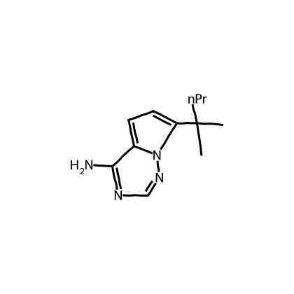 CCCC(C)(C)c1ccc2c(N)ncnn12